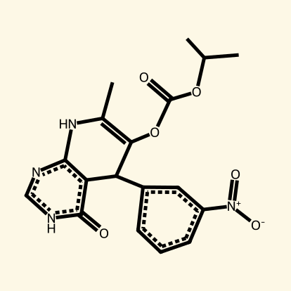 CC1=C(OC(=O)OC(C)C)C(c2cccc([N+](=O)[O-])c2)c2c(nc[nH]c2=O)N1